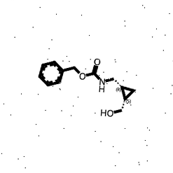 O=C(NC[C@@H]1C[C@@H]1CO)OCc1ccccc1